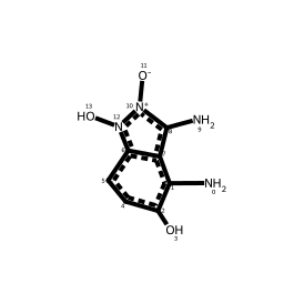 Nc1c(O)ccc2c1c(N)[n+]([O-])n2O